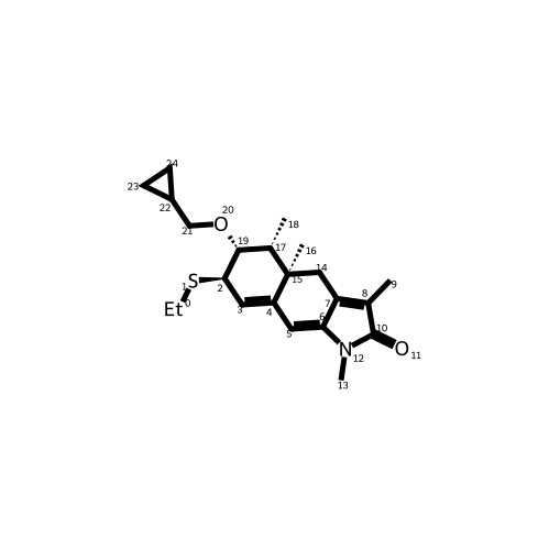 CCS[C@@H]1C=C2C=C3C(=C(C)C(=O)N3C)C[C@]2(C)[C@@H](C)[C@H]1OCC1CC1